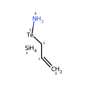 C=CC[Te]N.[SiH4]